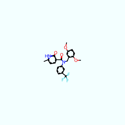 COc1ccc(OC)c(CN(C(=O)c2ccc(C)[nH]c2=O)c2cccc(C(F)(F)F)c2)c1